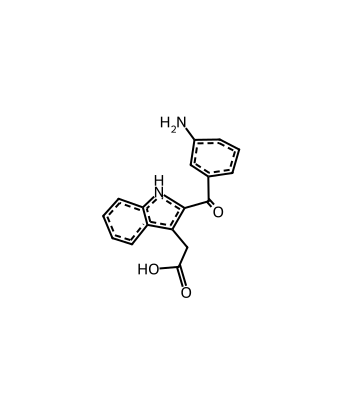 Nc1cccc(C(=O)c2[nH]c3ccccc3c2CC(=O)O)c1